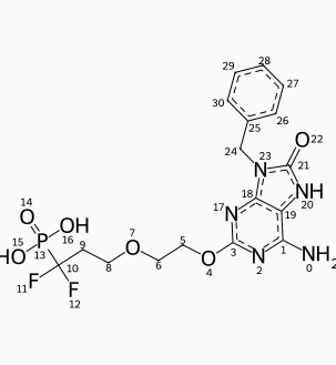 Nc1nc(OCCOCCC(F)(F)P(=O)(O)O)nc2c1[nH]c(=O)n2Cc1ccccc1